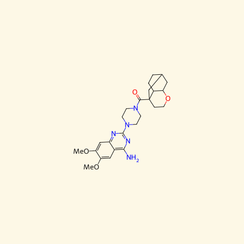 COc1cc2nc(N3CCN(C(=O)C45CCOC6CC(CCC64)C5)CC3)nc(N)c2cc1OC